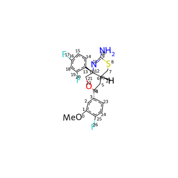 COc1cc([C@H]2C[C@H]3CSC(N)=N[C@@]3(c3ccc(F)cc3F)CO2)ccc1F